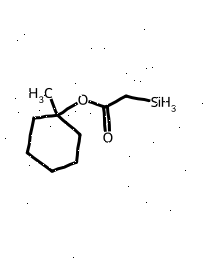 CC1(OC(=O)C[SiH3])CCCCC1